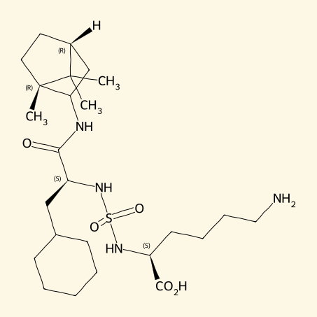 CC1(C)[C@@H]2CC[C@@]1(C)C(NC(=O)[C@H](CC1CCCCC1)NS(=O)(=O)N[C@@H](CCCCN)C(=O)O)C2